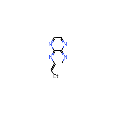 CC/C=C/N=C1/N=CC=N/C1=N/C